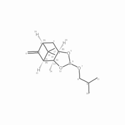 C=C1[C@H]2C[C@H]3OB(OCC(C)C)O[C@@]3(C)[C@@H]1C2(C)C